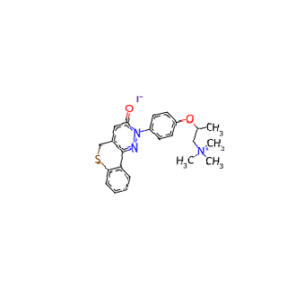 CC(C[N+](C)(C)C)Oc1ccc(-n2nc3c(cc2=O)CSc2ccccc2-3)cc1.[I-]